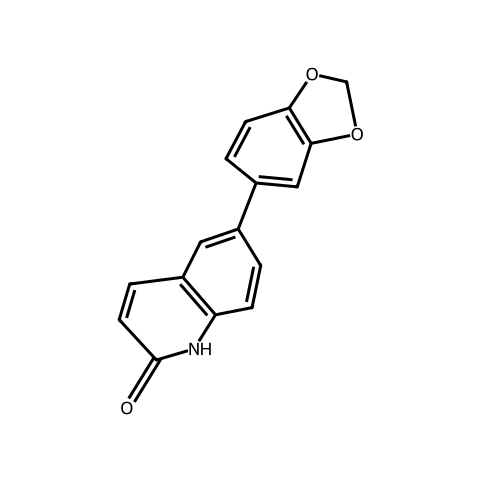 O=c1ccc2cc(-c3ccc4c(c3)OCO4)ccc2[nH]1